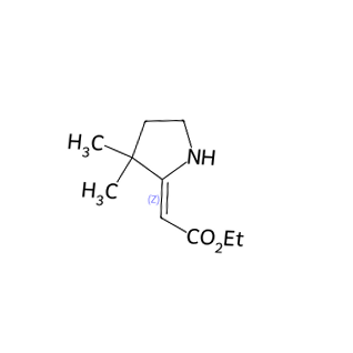 CCOC(=O)/C=C1\NCCC1(C)C